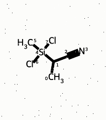 CC(C#N)[Si](C)(Cl)Cl